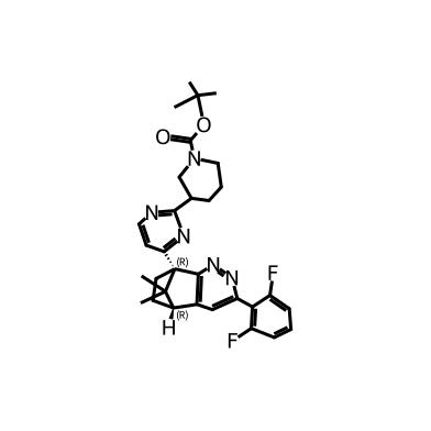 CC(C)(C)OC(=O)N1CCCC(c2nccc([C@]34CC[C@@H](c5cc(-c6c(F)cccc6F)nnc53)C4(C)C)n2)C1